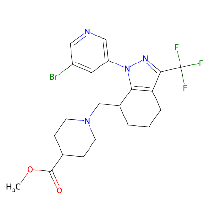 COC(=O)C1CCN(CC2CCCc3c(C(F)(F)F)nn(-c4cncc(Br)c4)c32)CC1